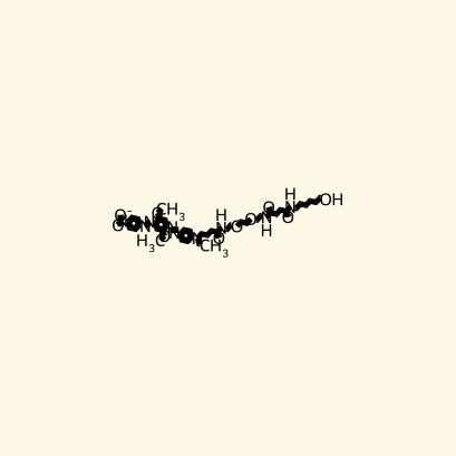 CCN(CCCC(=O)NCCOCCOCCNC(=O)CCC(=O)NCCCCCCO)c1ccc(N=Nc2cc(OC)c(N=Nc3ccc([N+](=O)[O-])cc3)cc2OC)cc1